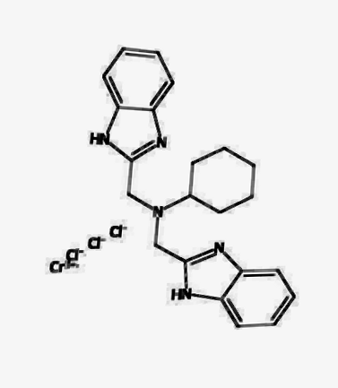 [Cl-].[Cl-].[Cl-].[Cr+3].c1ccc2[nH]c(CN(Cc3nc4ccccc4[nH]3)C3CCCCC3)nc2c1